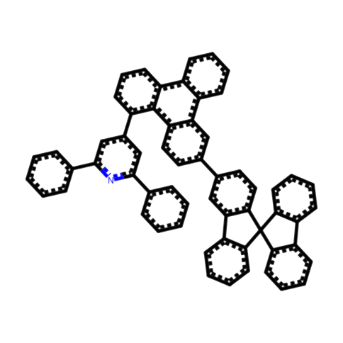 c1ccc(-c2cc(-c3cccc4c5ccccc5c5cc(-c6ccc7c(c6)-c6ccccc6C76c7ccccc7-c7ccccc76)ccc5c34)cc(-c3ccccc3)n2)cc1